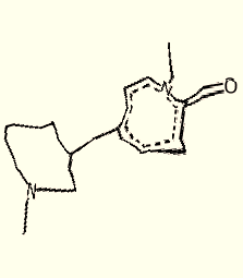 CN1CCCC(c2ccc(=O)n(C)c2)C1